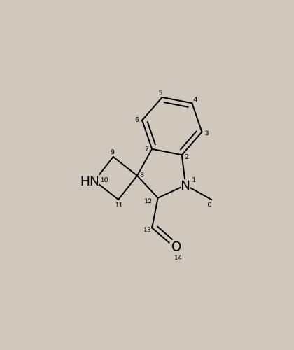 CN1c2ccccc2C2(CNC2)C1C=O